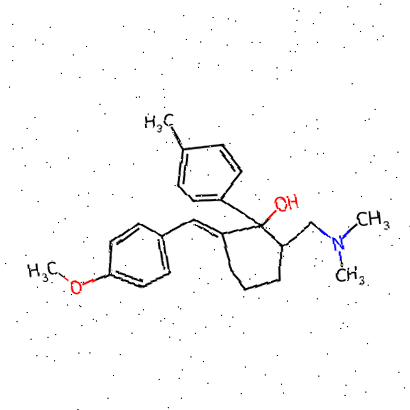 COc1ccc(C=C2CCCC(CN(C)C)C2(O)c2ccc(C)cc2)cc1